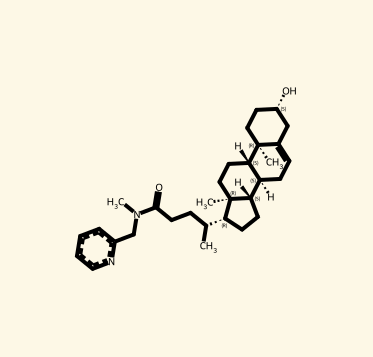 CC(CCC(=O)N(C)Cc1ccccn1)[C@H]1CC[C@H]2[C@@H]3CC=C4C[C@@H](O)CC[C@]4(C)[C@H]3CC[C@]12C